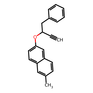 C#CC(Cc1ccccc1)Oc1ccc2cc(C)ccc2c1